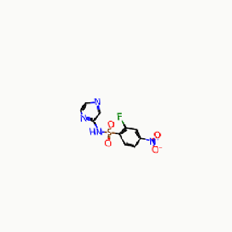 O=[N+]([O-])c1ccc(S(=O)(=O)Nc2cnccn2)c(F)c1